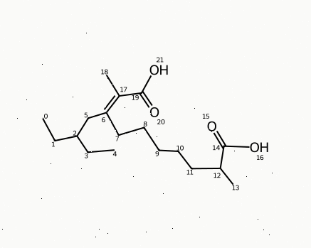 CCC(CC)CC(CCCCCC(C)C(=O)O)=C(C)C(=O)O